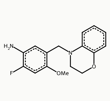 COc1cc(F)c(N)cc1CN1CCOc2ccccc21